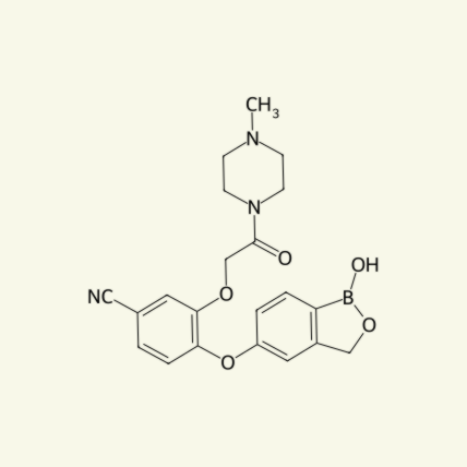 CN1CCN(C(=O)COc2cc(C#N)ccc2Oc2ccc3c(c2)COB3O)CC1